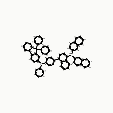 c1ccc(N(c2ccc(-c3ccc(N(c4ccc5ccccc5c4)c4ccc5ccccc5c4)c4ccccc34)cc2)c2ccc3c(c2)C(c2ccccc2)(c2ccccc2)c2ccccc2-3)cc1